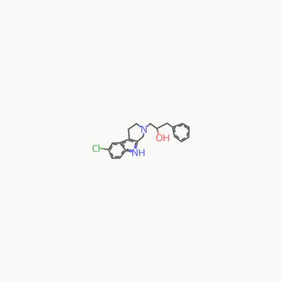 OC(Cc1ccccc1)CN1CCc2c([nH]c3ccc(Cl)cc23)C1